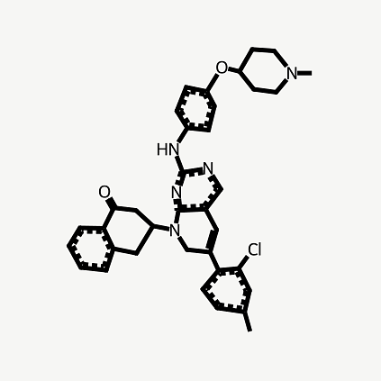 Cc1ccc(C2=Cc3cnc(Nc4ccc(OC5CCN(C)CC5)cc4)nc3N(C3CC(=O)c4ccccc4C3)C2)c(Cl)c1